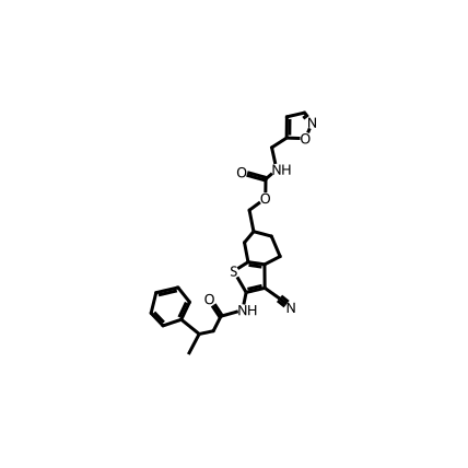 CC(CC(=O)Nc1sc2c(c1C#N)CCC(COC(=O)NCc1ccno1)C2)c1ccccc1